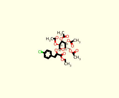 CCOC(=O)C(=Cc1ccc(Cl)cc1)O[C@H]1O[C@@H](COC(C)=O)[C@@H](OC(C)=O)[C@@H](OC(C)=O)[C@@H]1OC(C)=O